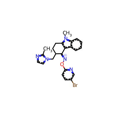 Cc1nccn1CC1CCc2c(c3ccccc3n2C)/C1=N/Oc1ccc(Br)cn1